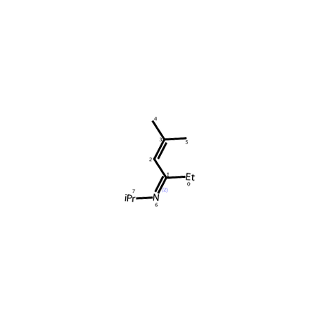 CC/C(C=C(C)C)=N/C(C)C